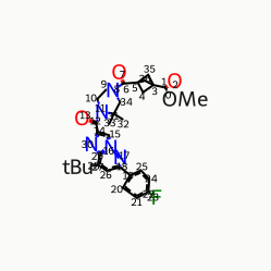 COC(=O)C12CC(C(=O)N3CCN(C(=O)c4cn5nc(-c6ccc(F)cc6)cc(C(C)(C)C)c5n4)C(C)(C)C3)(C1)C2